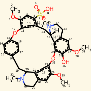 COc1cc(S(=O)(=O)O)c2cc1Oc1ccc(cc1)CC1c3cc(c(OC)cc3CCN1C)Oc1c(O)c(OC)cc3c1[C@H](C2)N(C)CC3